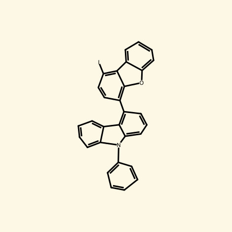 Ic1ccc(-c2cccc3c2c2ccccc2n3-c2ccccc2)c2oc3ccccc3c12